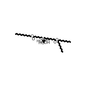 CCCCCCCCCCCOC(=O)CCCCCN(CCCCCCCC(=O)OC(CCCCCCCC)CCCCCCCC)C(O)C(O)(O)O